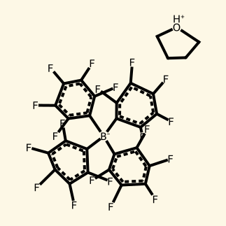 C1CC[OH+]C1.Fc1c(F)c(F)c([B-](c2c(F)c(F)c(F)c(F)c2F)(c2c(F)c(F)c(F)c(F)c2F)c2c(F)c(F)c(F)c(F)c2F)c(F)c1F